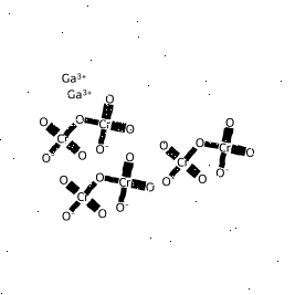 [Ga+3].[Ga+3].[O]=[Cr](=[O])([O-])[O][Cr](=[O])(=[O])[O-].[O]=[Cr](=[O])([O-])[O][Cr](=[O])(=[O])[O-].[O]=[Cr](=[O])([O-])[O][Cr](=[O])(=[O])[O-]